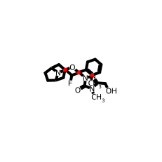 CC1=C(COC2CC3CCC(C2)N3CC(F)Cn2nc(CO)n(C)c2=O)CCC=C1